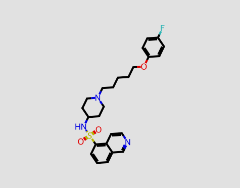 O=S(=O)(NC1CCN(CCCCCOc2ccc(F)cc2)CC1)c1cccc2cnccc12